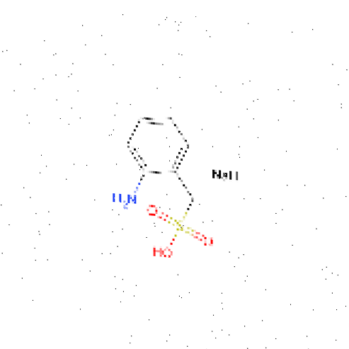 Nc1ccccc1CS(=O)(=O)O.[NaH]